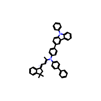 C/C(=C\C=C1/CC(C)(C)c2ccccc21)N(c1ccc(-c2ccccc2)cc1)c1ccc(-c2ccc3c(c2)c2ccccc2n3-c2ccccc2)cc1